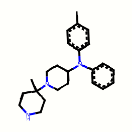 Cc1ccc(N(c2ccccc2)C2CCN(C3(C)CCNCC3)CC2)cc1